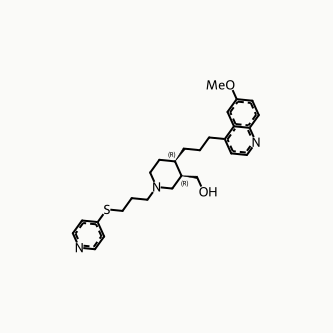 COc1ccc2nccc(CCC[C@@H]3CCN(CCCSc4ccncc4)C[C@@H]3CO)c2c1